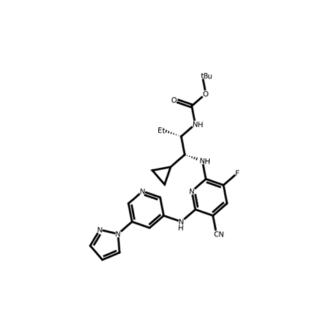 CC[C@H](NC(=O)OC(C)(C)C)[C@H](Nc1nc(Nc2cncc(-n3cccn3)c2)c(C#N)cc1F)C1CC1